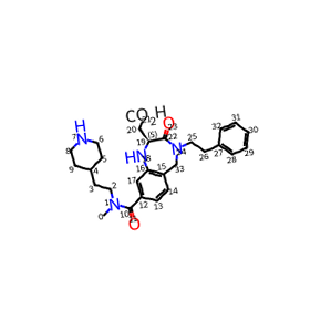 CN(CCC1CCNCC1)C(=O)c1ccc2c(c1)N[C@@H](CC(=O)O)C(=O)N(CCc1ccccc1)C2